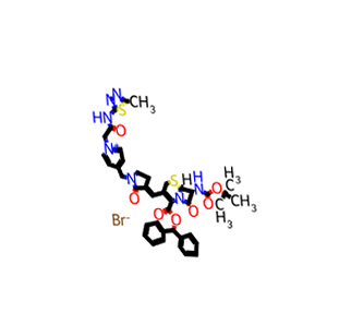 Cc1nnc(NC(=O)C[n+]2ccc(CN3CC/C(=C\C4=C(C(=O)OC(c5ccccc5)c5ccccc5)N5C(=O)[C@@H](NC(=O)OC(C)(C)C)[C@H]5SC4)C3=O)cc2)s1.[Br-]